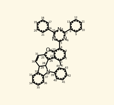 Cc1ccc(-c2nc(-c3ccccc3)nc(-c3ccccc3)n2)c2oc3c(c12)C1C(C=C3)c2ccccc2N1c1ccccc1